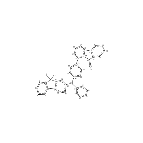 CC1(C)c2ccccc2-c2ccc(N(c3ccccc3)c3ccc(-c4cccc5c4C(=O)c4ccccc4-5)cc3)cc21